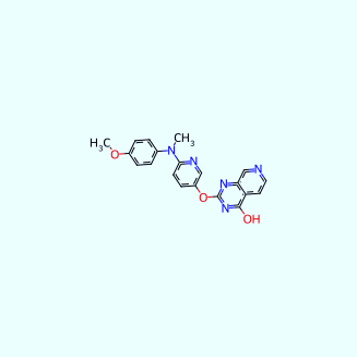 COc1ccc(N(C)c2ccc(Oc3nc(O)c4ccncc4n3)cn2)cc1